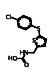 O=C(O)NCc1ccc(Sc2ccc(Cl)cc2)s1